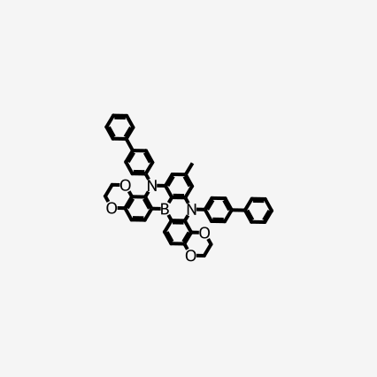 Cc1cc2c3c(c1)N(c1ccc(-c4ccccc4)cc1)c1c(ccc4c1OCCO4)B3c1ccc3c(c1N2c1ccc(-c2ccccc2)cc1)OCCO3